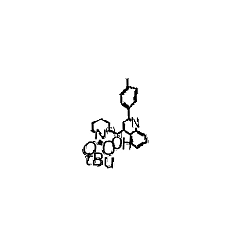 Cc1ccc(-c2cc([C@H](O)[C@@H]3CCCCN3C(=O)OC(C)(C)C)c3ccccc3n2)cc1